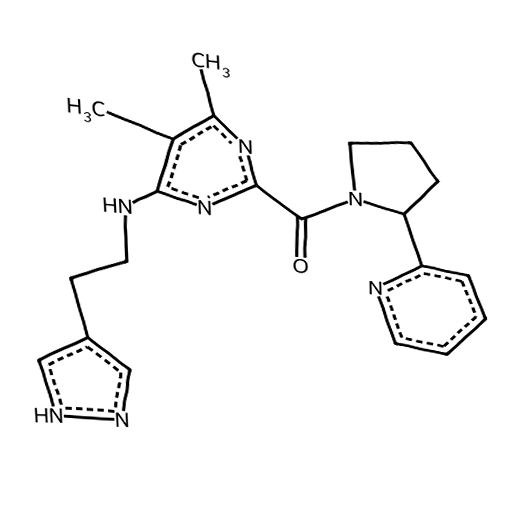 Cc1nc(C(=O)N2CCCC2c2ccccn2)nc(NCCc2cn[nH]c2)c1C